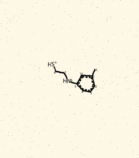 Cc1cccc(NCCS)c1